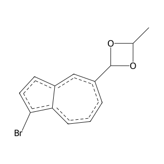 CC1OC(c2cccc3c(Br)ccc-3c2)O1